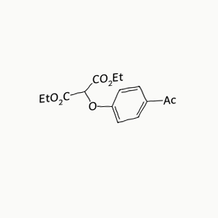 CCOC(=O)C(Oc1ccc(C(C)=O)cc1)C(=O)OCC